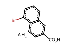 O=C(O)c1ccc2c(Br)cccc2c1.[AlH3]